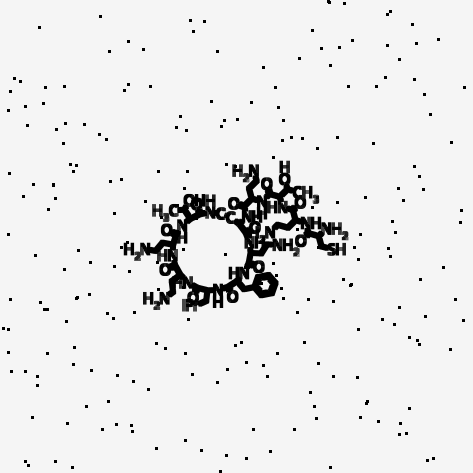 CC(C)CC1NC(=O)C(Cc2ccccc2)NC(=O)C(CCN)NC(=O)C(NC(=O)C(CCN)NC(=O)C(NC(=O)C(CCN)NC(=O)C(N)CS)C(C)O)CCNC(=O)C(C(C)O)NC(=O)C(CCN)NC(=O)C(CCN)NC1=O